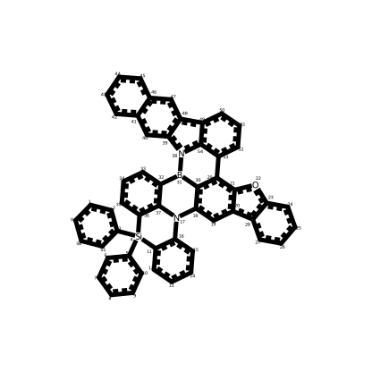 c1ccc([Si]2(c3ccccc3)c3ccccc3N3c4cc5c(oc6ccccc65)c5c4B(c4cccc2c43)n2c3cc4ccccc4cc3c3cccc-5c32)cc1